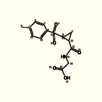 Cc1ccc(S(=O)(=O)N2CC2C(=O)NCC(=O)O)cc1